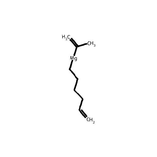 C=CCCC[CH2][Mg][C](=C)C